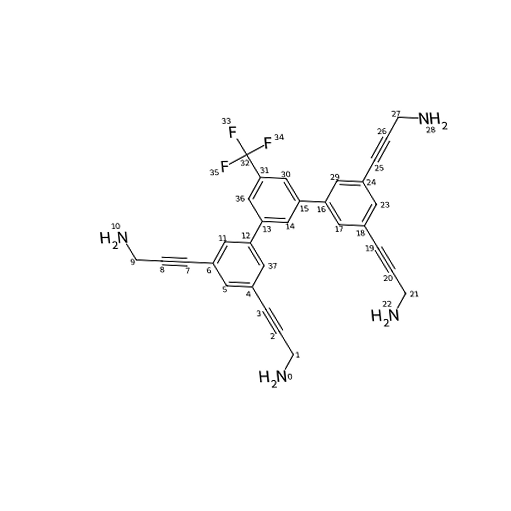 NCC#Cc1cc(C#CCN)cc(-c2cc(-c3cc(C#CCN)cc(C#CCN)c3)cc(C(F)(F)F)c2)c1